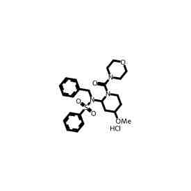 COC1CCN(C(=O)N2CCOCC2)C(N(Cc2ccccc2)S(=O)(=O)c2ccccc2)C1.Cl